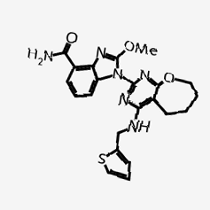 COc1nc2c(C(N)=O)cccc2n1-c1nc(NCc2cccs2)c2c(n1)OCCCC2